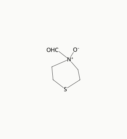 O=C[N+]1([O-])CCSCC1